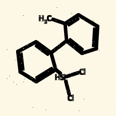 Cc1ccccc1-c1ccccc1[SiH](Cl)Cl